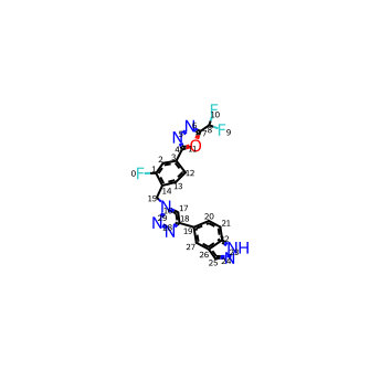 Fc1cc(-c2nnc(C(F)F)o2)ccc1Cn1cc(-c2ccc3[nH]ncc3c2)nn1